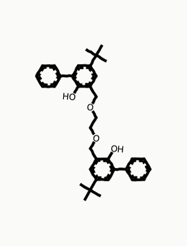 CC(C)(C)c1cc(COCCOCc2cc(C(C)(C)C)cc(-c3ccccc3)c2O)c(O)c(-c2ccccc2)c1